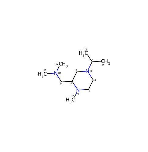 CC(C)N1CCN(C)C(CN(C)C)C1